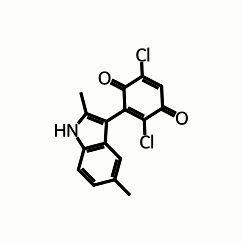 Cc1ccc2[nH]c(C)c(C3=C(Cl)C(=O)C=C(Cl)C3=O)c2c1